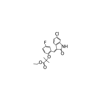 CCOC(=O)C(C)(C)Oc1ccc(F)cc1/C=C1/C(=O)Nc2cc(Cl)ccc21